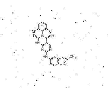 CN1CC2CC1c1cc(Nc3ncc4c(=N)n(-c5c(Cl)cccc5Cl)c(=O)[nH]c4n3)ccc12